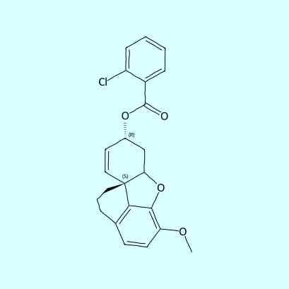 COc1ccc2c3c1OC1C[C@@H](OC(=O)c4ccccc4Cl)C=C[C@@]31CCC2